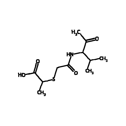 CC(=O)C(NC(=O)CSC(C)C(=O)O)C(C)C